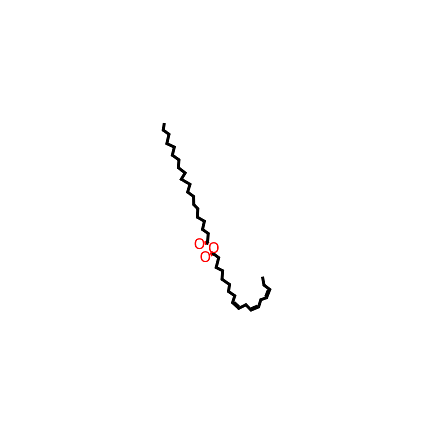 CC/C=C\C/C=C\C/C=C\CCCCCCCC(=O)OC(=O)CCCCCCCCCCCCCCCCCCC